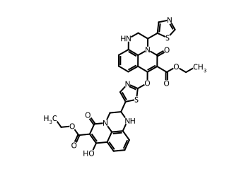 CCOC(=O)c1c(O)c2cccc3c2n(c1=O)CC(c1cnc(Oc2c(C(=O)OCC)c(=O)n4c5c(cccc25)NCC4c2cncs2)s1)N3